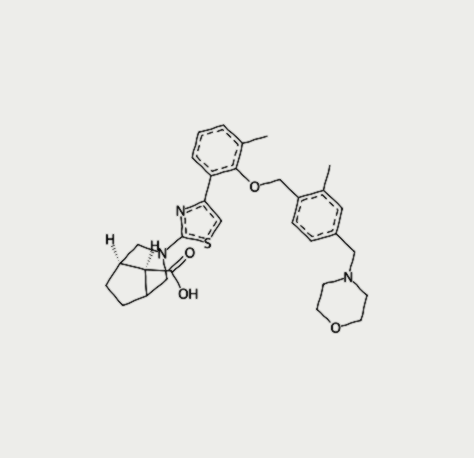 Cc1cc(CN2CCOCC2)ccc1COc1c(C)cccc1-c1csc(N2CC3CC[C@@H](C2)[C@H]3C(=O)O)n1